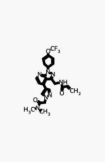 C=CC(=O)NCc1nn(C2C=CC(OC(F)(F)F)=CC2)c2nccc(-c3cnn(CC(=O)N(C)C)c3)c12